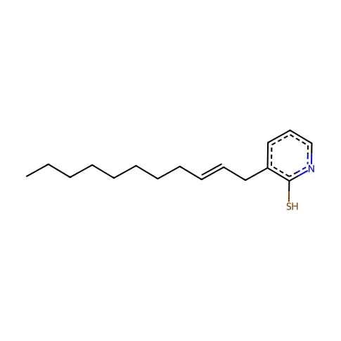 CCCCCCCCC=CCc1cccnc1S